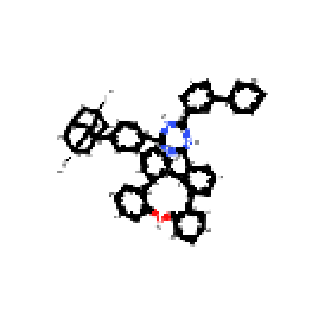 c1ccc(-c2cccc(-c3nc(-c4ccc(C56CC7C[C@H](C5)C[C@H](C7)C6)cc4)nc(-c4cccc5c6ccccc6oc6ccccc6c6ccccc6c45)n3)c2)cc1